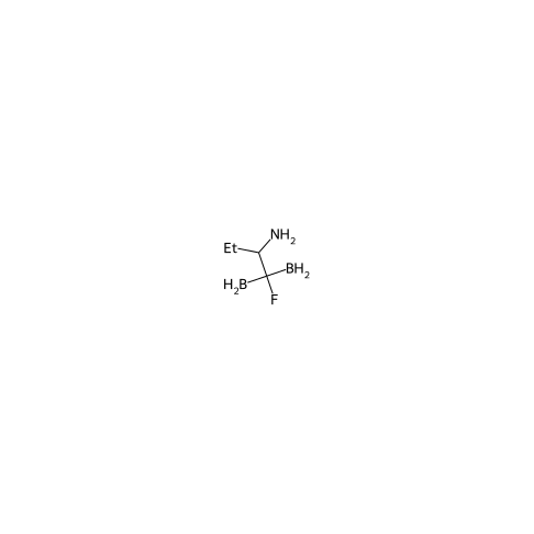 BC(B)(F)C(N)CC